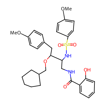 COc1ccc(CC(OCC2CCCCC2)C(CNC(=O)c2ccccc2O)NS(=O)(=O)c2ccc(OC)cc2)cc1